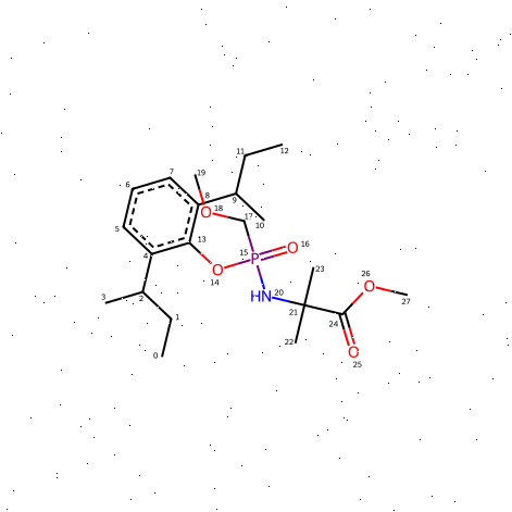 CCC(C)c1cccc(C(C)CC)c1OP(=O)(COC)NC(C)(C)C(=O)OC